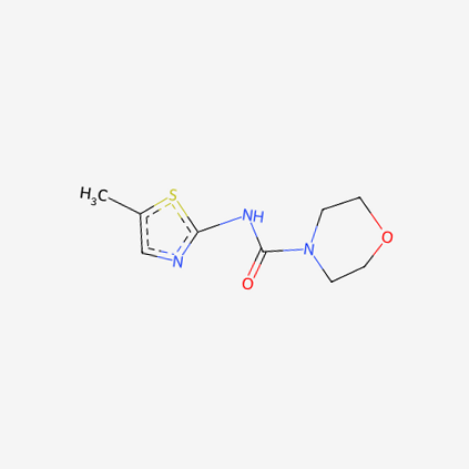 Cc1cnc(NC(=O)N2CCOCC2)s1